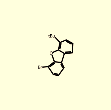 CC(C)(C)c1cccc2c1oc1c(Br)cccc12